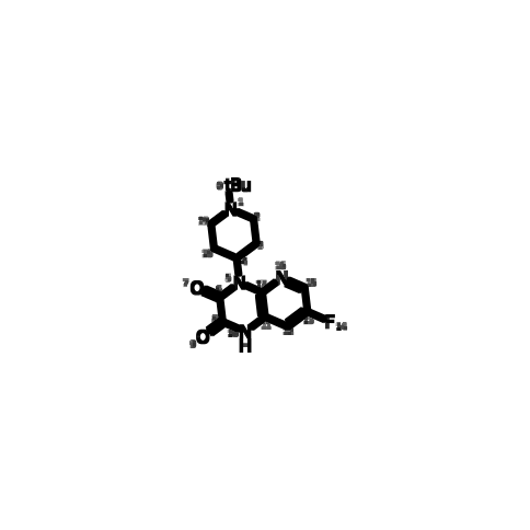 CC(C)(C)N1CCC(n2c(=O)c(=O)[nH]c3cc(F)cnc32)CC1